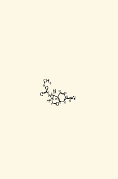 CCOC(=O)[C@@H]1[C@@H]2COc3cc(C#N)ccc3[C@@H]21